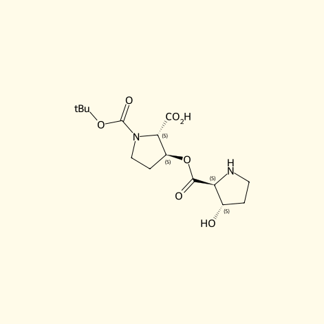 CC(C)(C)OC(=O)N1CC[C@H](OC(=O)[C@H]2NCC[C@@H]2O)[C@H]1C(=O)O